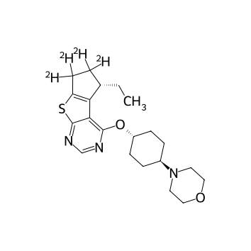 [2H]C1([2H])c2sc3ncnc(O[C@H]4CC[C@H](N5CCOCC5)CC4)c3c2[C@@H](CC)C1([2H])[2H]